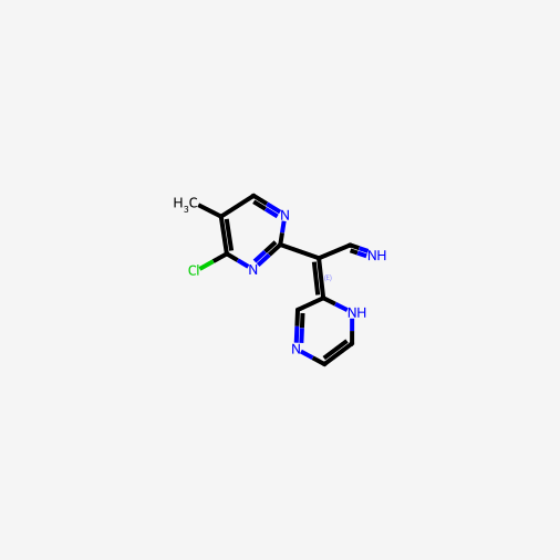 Cc1cnc(/C(C=N)=C2\C=NC=CN2)nc1Cl